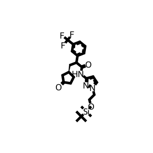 CC(C)(C)[Si](C)(C)OCCn1ccc(NC(=O)C(C[C@H]2CCC(=O)C2)c2cccc(C(F)(F)F)c2)n1